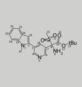 Cn1c(-c2cncc(C(N)(C(=O)OC(C)(C)C)S(C)(=O)=O)c2)cc2ccccc21